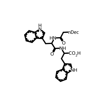 CCCCCCCCCCCC(=O)NC(Cc1c[nH]c2ccccc12)C(=O)NC(Cc1c[nH]c2ccccc12)C(=O)O